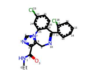 CCNC(=O)c1ncn2c1CN=C(c1ccccc1Cl)c1ccc(Cl)cc1-2